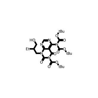 CCC(CO)Cn1c(=O)n(C(=O)OC(C)(C)C)c(=O)c2c(N(C(=O)OC(C)(C)C)C(=O)OC(C)(C)C)ncnc21